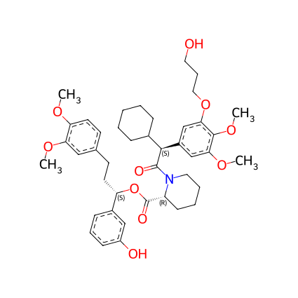 COc1ccc(CC[C@H](OC(=O)[C@H]2CCCCN2C(=O)[C@H](c2cc(OC)c(OC)c(OCCCO)c2)C2CCCCC2)c2cccc(O)c2)cc1OC